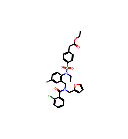 CCOC(=O)Cc1ccc(S(=O)(=O)N(CC)c2ccc(Cl)cc2CN(Cc2ccco2)C(=O)c2ccccc2Cl)cc1